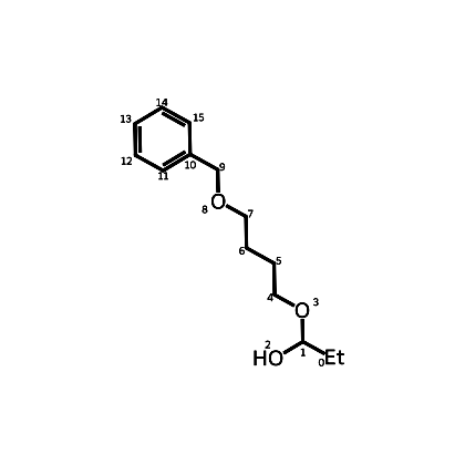 CCC(O)OCCCCOCc1ccccc1